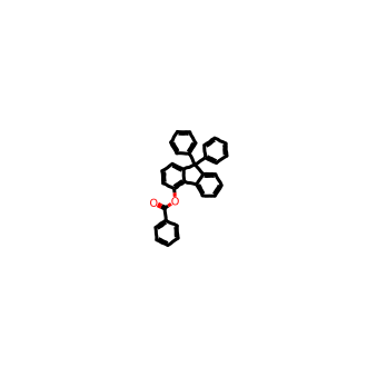 O=C(Oc1cccc2c1-c1ccccc1C2(c1ccccc1)c1ccccc1)c1ccccc1